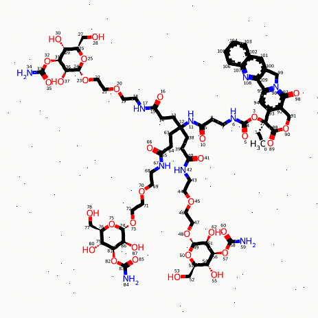 CC[C@@]1(OC(=O)NCCC(=O)NC(CCC(=O)NCCOCCO[C@H]2O[C@H](CO)[C@@H](O)[C@H](OC(N)=O)[C@@H]2O)(CCC(=O)NCCOCCO[C@H]2O[C@H](CO)[C@@H](O)[C@H](OC(N)=O)[C@@H]2O)CCC(=O)NCCOCCO[C@H]2O[C@H](CO)[C@@H](O)[C@H](OC(N)=O)[C@@H]2O)C(=O)OCc2c1cc1n(c2=O)Cc2cc3ccccc3nc2-1